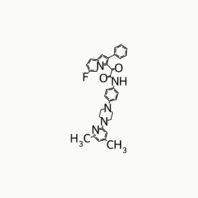 Cc1cc(C)nc(N2CCN(c3ccc(NC(=O)C(=O)c4c(-c5ccccc5)cc5ccc(F)cn45)cc3)CC2)c1